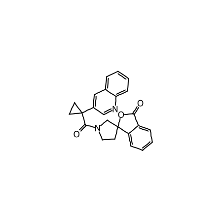 O=C1OC2(CCN(C(=O)C3(c4cnc5ccccc5c4)CC3)C2)c2ccccc21